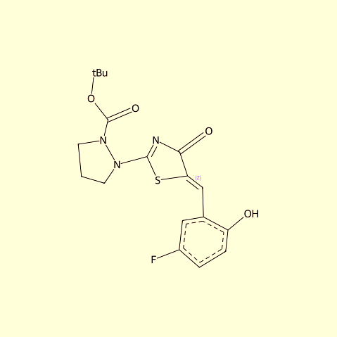 CC(C)(C)OC(=O)N1CCCN1C1=NC(=O)/C(=C/c2cc(F)ccc2O)S1